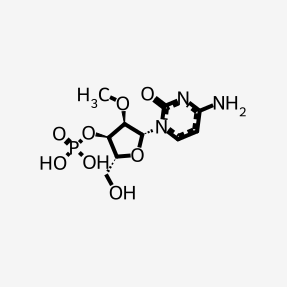 CO[C@@H]1[C@H](OP(=O)(O)O)[C@@H](CO)O[C@H]1n1ccc(N)nc1=O